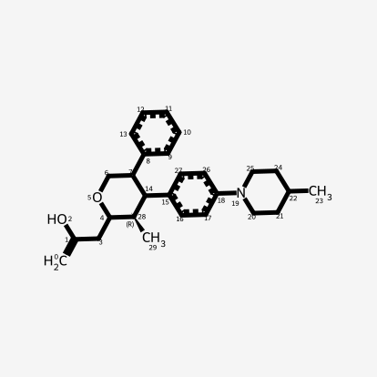 C=C(O)CC1OCC(c2ccccc2)C(c2ccc(N3CCC(C)CC3)cc2)[C@H]1C